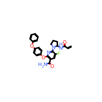 C=CC(=O)NC1CCCN1c1nc(Oc2ccc(Oc3ccccc3)cc2)c(C(N)=O)cc1F